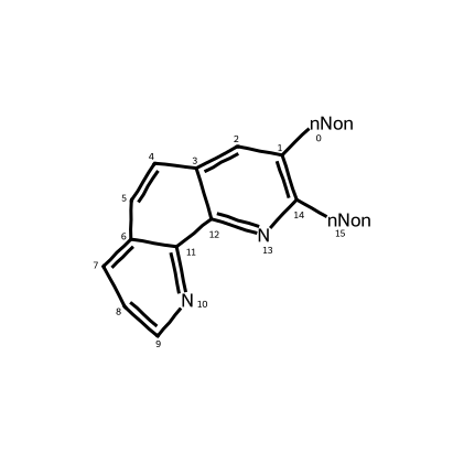 CCCCCCCCCc1cc2ccc3cccnc3c2nc1CCCCCCCCC